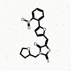 O=C1/C(=C\c2ccc(-c3ccccc3[N+](=O)[O-])o2)SC(=S)N1CC1CCCO1